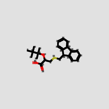 CC(C)(C)[Si](C)(C)OC(CSCC1c2ccccc2-c2ccccc21)C(=O)O